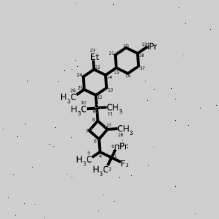 CCCC(C)(F)C(C)C1CC(C(C)(C)C2CC(C3CCC(C(C)C)CC3)C(CC)CC2C)C1C